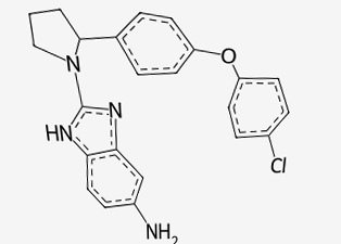 Nc1ccc2[nH]c(N3CCCC3c3ccc(Oc4ccc(Cl)cc4)cc3)nc2c1